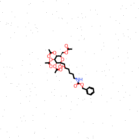 CC(=O)OC[C@H]1O[C@@](O)(CCCCCCNC(=O)OCc2ccccc2)[C@@H](OC(C)=O)[C@@H](OC(C)=O)[C@@H]1OC(C)=O